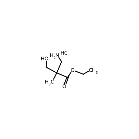 CCOC(=O)C(C)(CN)CO.Cl